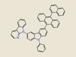 c1ccc(-n2c3ccc(-c4c5ccccc5c(-c5cccc6ccccc56)c5ccccc45)cc3c3cc(-n4c5ccccc5c5cccnc54)ccc32)cc1